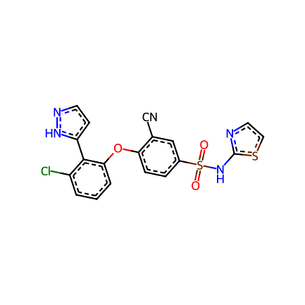 N#Cc1cc(S(=O)(=O)Nc2nccs2)ccc1Oc1cccc(Cl)c1-c1ccn[nH]1